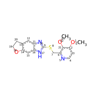 COc1ccnc(CSc2nc3cc4c(cc3[nH]2)OCC4)c1OC